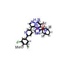 COc1c(F)cc(-c2ccc(-c3cnn4c(N)c(C(C)=O)c([C@@H]5C[C@H]6CC[C@@H](C5)N6C(=O)c5nnc[nH]5)nc34)cn2)cc1F